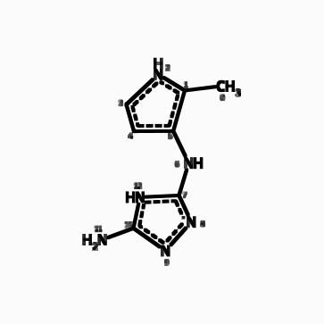 Cc1[nH]ccc1Nc1nnc(N)[nH]1